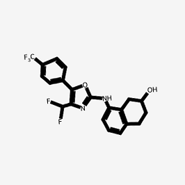 OC1CCc2cccc(Nc3nc(C(F)F)c(-c4ccc(C(F)(F)F)cc4)o3)c2C1